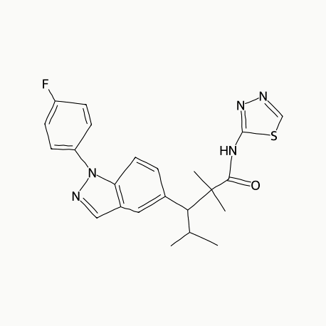 CC(C)C(c1ccc2c(cnn2-c2ccc(F)cc2)c1)C(C)(C)C(=O)Nc1nncs1